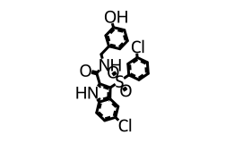 O=C(NCc1cccc(O)c1)c1[nH]c2ccc(Cl)cc2c1S(=O)(=O)c1cccc(Cl)c1